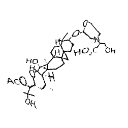 CC(=O)O[C@@H]([C@H]1C[C@@H](C)[C@H]2[C@H](O1)[C@H](O)[C@@]1(C)[C@@H]3CC[C@H]4C(C)(C)C(O[C@H]5CN([C@@H](CO)C(=O)O)CCO5)CCC45C[C@@]35CC[C@]21C)C(C)(C)O